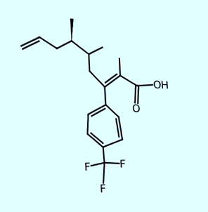 C=CC[C@@H](C)C(C)C/C(=C(\C)C(=O)O)c1ccc(C(F)(F)F)cc1